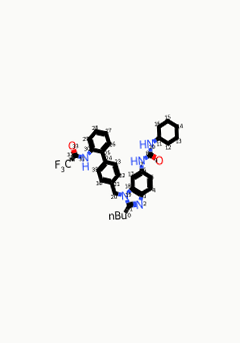 CCCCc1nc2ccc(NC(=O)NC3CCCCC3)cc2n1Cc1ccc(-c2ccccc2NC(=O)C(F)(F)F)cc1